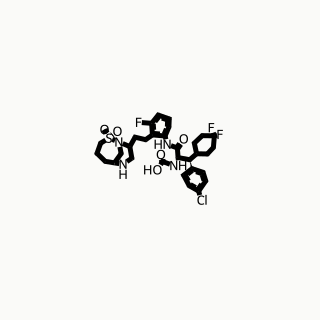 O=C(O)N[C@H](C(=O)Nc1cccc(F)c1CCC1CNC2CCCS(=O)(=O)N1C2)[C@@H](c1ccc(Cl)cc1)C1CCC(F)(F)CC1